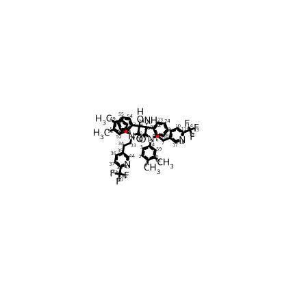 Cc1ccc(N(CCc2ccc(C(F)(F)F)nc2)C(=O)[C@](N)(c2ccccc2)[C@](O)(C(=O)N(CCc2ccc(C(F)(F)F)nc2)c2ccc(C)c(C)c2)c2ccccc2)cc1C